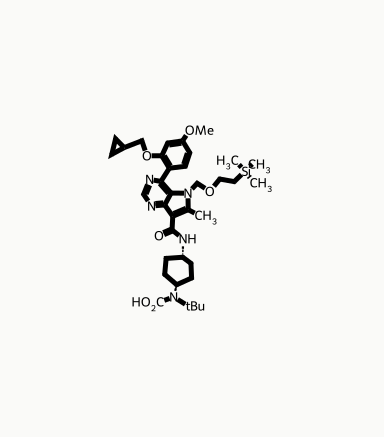 COc1ccc(-c2ncnc3c(C(=O)N[C@H]4CC[C@@H](N(C(=O)O)C(C)(C)C)CC4)c(C)n(COCC[Si](C)(C)C)c23)c(OCC2CC2)c1